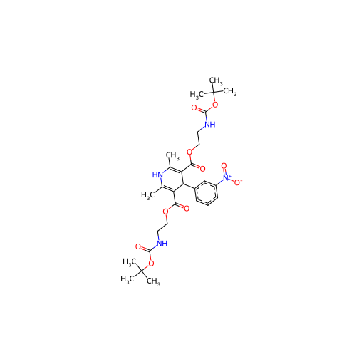 CC1=C(C(=O)OCCNC(=O)OC(C)(C)C)C(c2cccc([N+](=O)[O-])c2)C(C(=O)OCCNC(=O)OC(C)(C)C)=C(C)N1